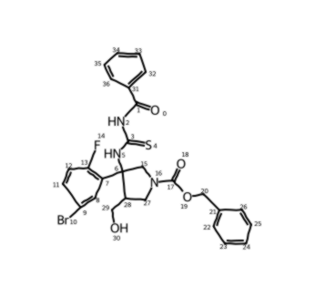 O=C(NC(=S)NC1(c2cc(Br)ccc2F)CN(C(=O)OCc2ccccc2)CC1CO)c1ccccc1